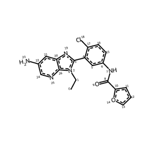 CCn1c(-c2cc(NC(=O)c3ccco3)ccc2Cl)nc2cc(N)cnc21